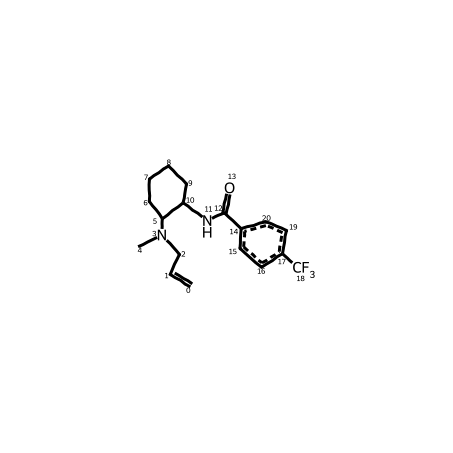 C=CCN(C)C1CCCCC1NC(=O)c1ccc(C(F)(F)F)cc1